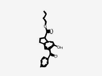 CCCCOC(=O)C1CCc2cc(C(=O)c3ccccc3)c(O)cc21